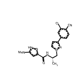 CNc1cc(C(=O)N[C@@H](C)Cn2ccc(-c3ccc(C#N)c(Cl)c3)n2)n[nH]1